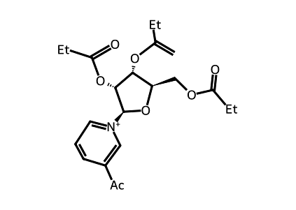 C=C(CC)O[C@H]1[C@@H](OC(=O)CC)[C@H]([n+]2cccc(C(C)=O)c2)O[C@@H]1COC(=O)CC